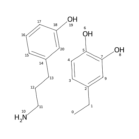 CCc1ccc(O)c(O)c1.NCCCc1cccc(O)c1